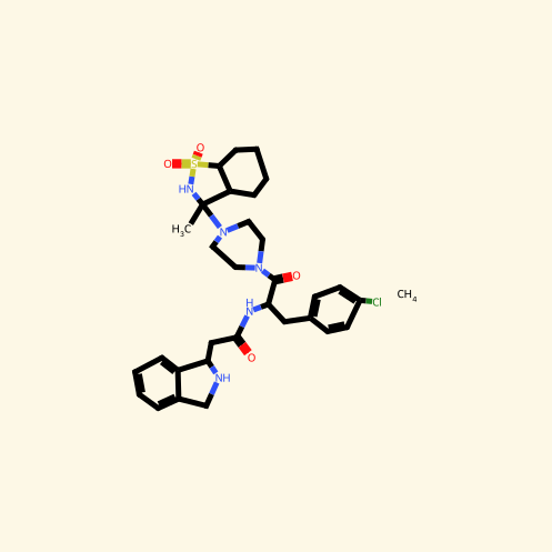 C.CC1(N2CCN(C(=O)C(Cc3ccc(Cl)cc3)NC(=O)CC3NCc4ccccc43)CC2)NS(=O)(=O)C2CCCCC21